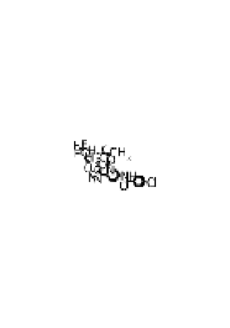 CC(C)(C)OC(=O)N1CC(NC(=O)c2ccc(Cl)cc2)CCC1c1nnc(OCCOC(F)(F)F)o1